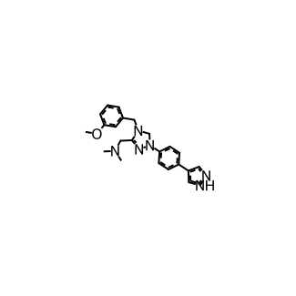 COc1cccc(CN2CN(c3ccc(-c4cn[nH]c4)cc3)N=C2CN(C)C)c1